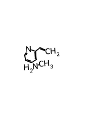 C=Cc1ccccn1.CN